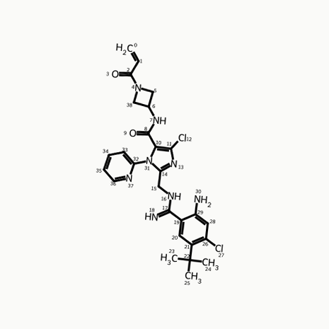 C=CC(=O)N1CC(NC(=O)c2c(Cl)nc(CNC(=N)c3cc(C(C)(C)C)c(Cl)cc3N)n2-c2ccccn2)C1